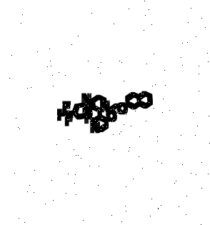 O=C(COc1ccc2ccccc2c1)N1CCc2nc3cc(C(F)(F)F)ccn3c2C1c1cccnc1F